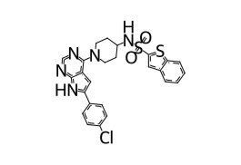 O=S(=O)(NC1CCN(c2ncnc3[nH]c(-c4ccc(Cl)cc4)cc23)CC1)c1cc2ccccc2s1